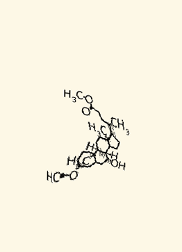 C#CO[C@@H]1CC[C@@]2(C)C(C1)C[C@H](O)[C@H]1C3CC[C@H]([C@H](C)CCC(=O)OC)[C@@]3(C)CC[C@@H]12